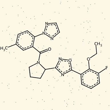 CCOc1c(F)cccc1-c1nc(C2CCCN2C(=O)c2cc(C)ccc2-n2nccn2)no1